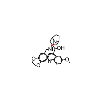 COc1ccc2nccc(C(O)CN3C4CCC3CC(NCc3ccc5c(c3)OCCO5)C4)c2c1